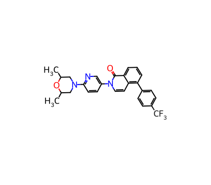 CC1CN(c2ccc(-n3ccc4c(-c5ccc(C(F)(F)F)cc5)cccc4c3=O)cn2)CC(C)O1